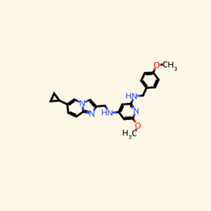 COc1ccc(CNc2cc(NCc3cn4cc(C5CC5)ccc4n3)cc(OC)n2)cc1